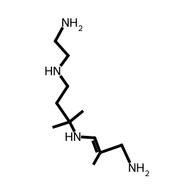 C/C(=C\NC(C)(C)CCNCCN)CN